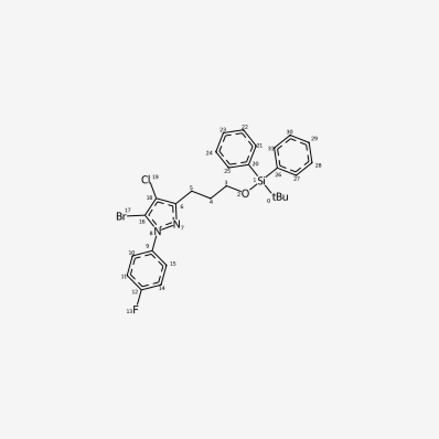 CC(C)(C)[Si](OCCCc1nn(-c2ccc(F)cc2)c(Br)c1Cl)(c1ccccc1)c1ccccc1